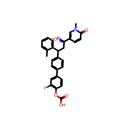 Cc1ccccc1C(C/C(=N\O)c1ccc(=O)n(C)c1)c1ccc(-c2ccc(OC(=O)O)c(F)c2)cc1